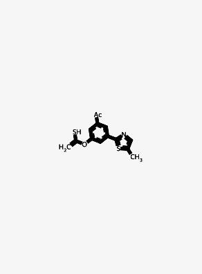 C=C(S)Oc1cc(C(C)=O)cc(-c2ncc(C)s2)c1